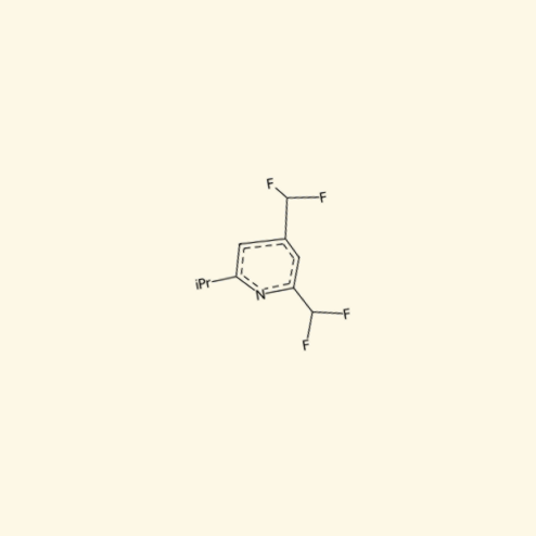 CC(C)c1cc(C(F)F)cc(C(F)F)n1